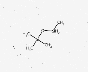 [CH2][SiH2]O[Si](C)(C)C